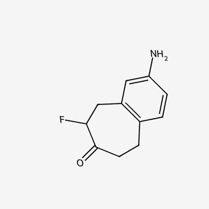 Nc1ccc2c(c1)CC(F)C(=O)CC2